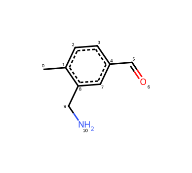 Cc1ccc(C=O)cc1CN